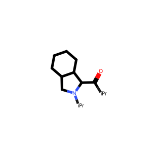 CC(C)C(=O)C1C2CCCCC2CN1C(C)C